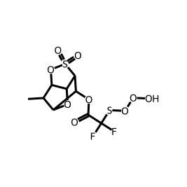 CC1C2OC3C1OS(=O)(=O)C3C2OC(=O)C(F)(F)SOOO